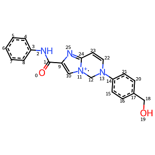 O=C(Nc1ccccc1)C1=C[N+]2CN(c3ccc(CO)cc3)C=CC2=N1